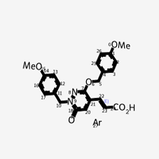 COc1ccc(COc2nn(Cc3ccc(OC)cc3)c(=O)cc2/C=C/C(=O)O)cc1.[Ar]